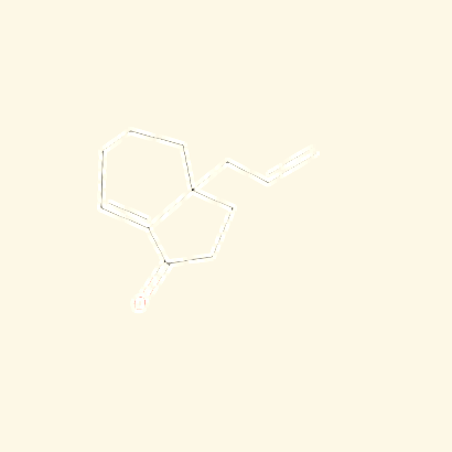 C=CCC12CCCC=C1C(=O)CC2